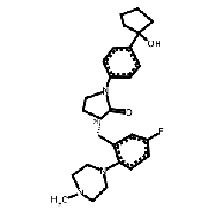 CN1CCN(c2ccc(F)cc2C[C@@H]2CCN(c3ccc(C4(O)CCCC4)cc3)C2=O)CC1